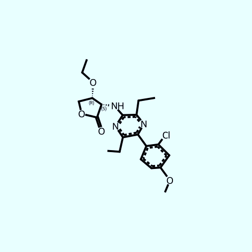 CCO[C@H]1COC(=O)[C@H]1Nc1nc(CC)c(-c2ccc(OC)cc2Cl)nc1CC